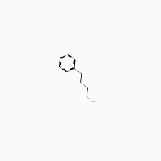 BrCCCCc1[c]cccc1